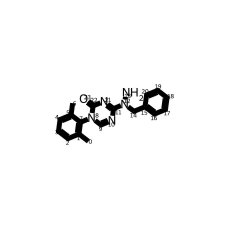 Cc1cccc(C)c1-n1cnc(N(N)Cc2ccccc2)nc1=O